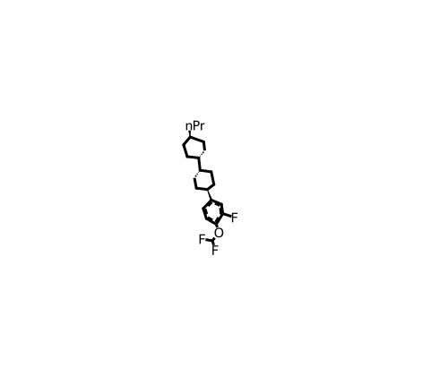 CCC[C@H]1CC[C@H]([C@H]2CC[C@H](c3ccc(OC(F)F)c(F)c3)CC2)CC1